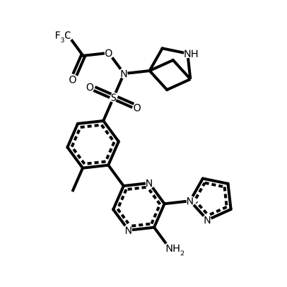 Cc1ccc(S(=O)(=O)N(OC(=O)C(F)(F)F)C23CNC(C2)C3)cc1-c1cnc(N)c(-n2cccn2)n1